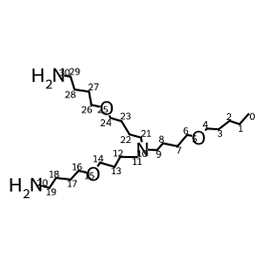 CCCCCOCCCCN(CCCCOCCCCN)CCCCOCCCCN